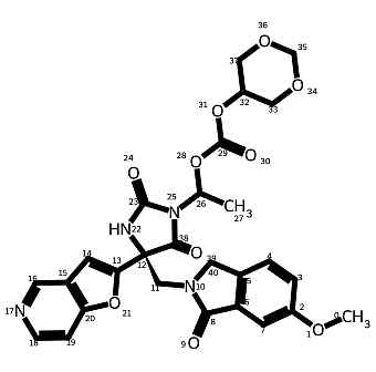 COc1ccc2c(c1)C(=O)N(C[C@@]1(c3cc4cnccc4o3)NC(=O)N(C(C)OC(=O)OC3COCOC3)C1=O)C2